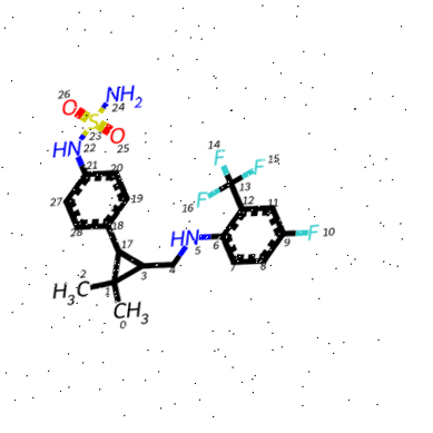 CC1(C)C(CNc2ccc(F)cc2C(F)(F)F)C1c1ccc(NS(N)(=O)=O)cc1